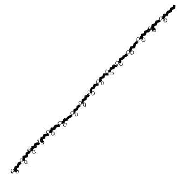 CCCCCCCC(=O)OCCCCC(=O)OCCCCC(=O)OCCCCC(=O)OCCCCC(=O)OCCCCC(=O)OCCCCC(=O)OCCCCC(=O)OCCCCC(=O)OCCCCC(=O)OCCCCC(=O)OCCCCC(=O)OCCCCC(=O)OCCCCC(=O)OCCCCC(=O)OCCCCC(=O)OC